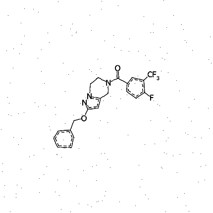 O=C(c1ccc(F)c(C(F)(F)F)c1)N1CCn2nc(OCc3ccccc3)cc2C1